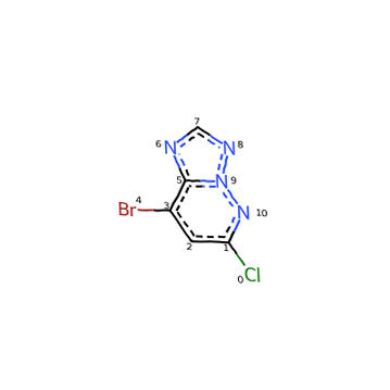 Clc1cc(Br)c2ncnn2n1